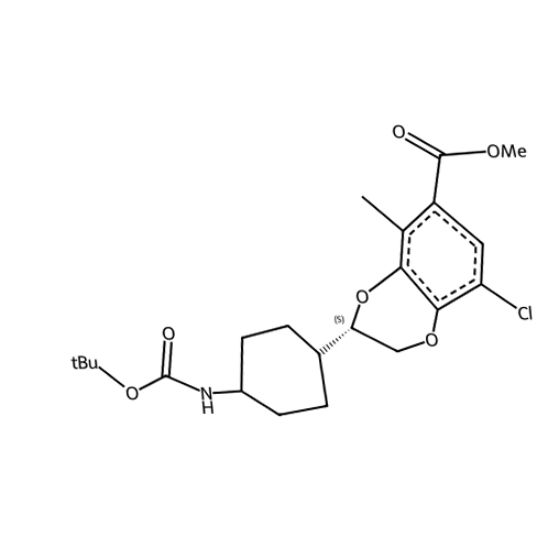 COC(=O)c1cc(Cl)c2c(c1C)O[C@@H](C1CCC(NC(=O)OC(C)(C)C)CC1)CO2